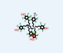 Cc1c(F)c(F)c(CCC[Si](CCCc2c(F)c(F)c(O)c(F)c2F)(CCCc2c(F)c(F)c(O)c(F)c2F)CCC[Si](/C=C/Cc2c(F)c(F)c(O)c(F)c2F)(CCCc2c(F)c(F)c(O)c(F)c2F)CCCc2c(F)c(F)c(O)c(F)c2F)c(F)c1F